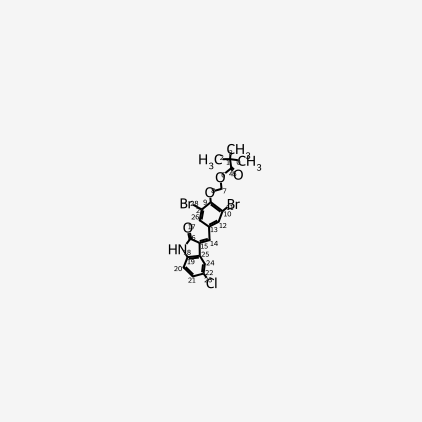 CC(C)(C)C(=O)OCOc1c(Br)cc(/C=C2\C(=O)Nc3ccc(Cl)cc32)cc1Br